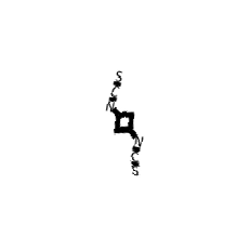 S=C=NC1CC(N=C=S)C1